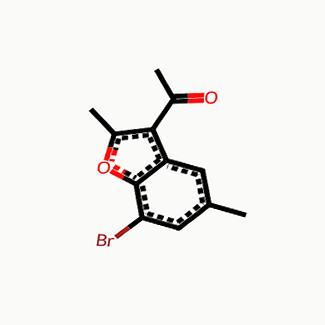 CC(=O)c1c(C)oc2c(Br)cc(C)cc12